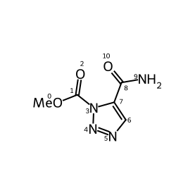 COC(=O)n1nncc1C(N)=O